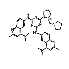 Cc1cc(N(C)C)c2cc(Nc3nc(Nc4ccc5nc(C)cc(N(C)C)c5c4)nc(N4CCC[C@H]4CN4CCCC4)n3)ccc2n1